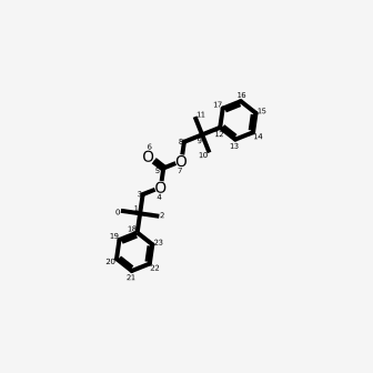 CC(C)(COC(=O)OCC(C)(C)c1ccccc1)c1ccccc1